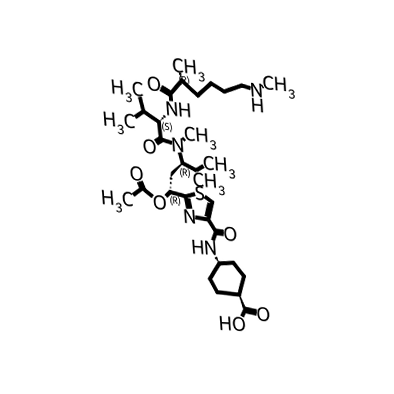 CNCCCC[C@@H](C)C(=O)N[C@H](C(=O)N(C)[C@H](C[C@@H](OC(C)=O)c1nc(C(=O)N[C@H]2CC[C@H](C(=O)O)CC2)cs1)C(C)C)C(C)C